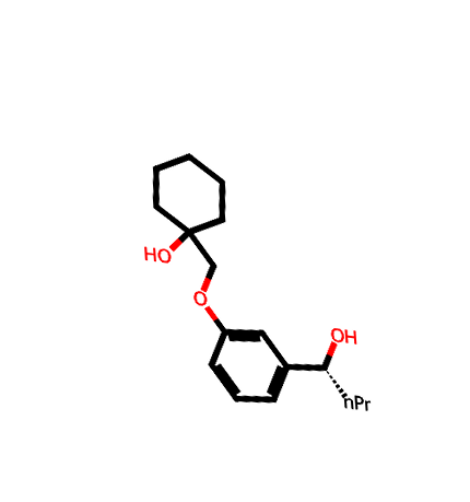 CCC[C@@H](O)c1cccc(OCC2(O)CCCCC2)c1